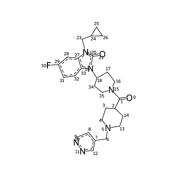 O=C(C1CCN(Cc2ccnnc2)CC1)N1CCC(n2c(=O)n(CC3CC3)c3cc(F)ccc32)CC1